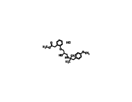 COC(=O)Cc1ccccc1OCC(O)CNC(C)(C)Cc1ccc(OC)cc1.Cl